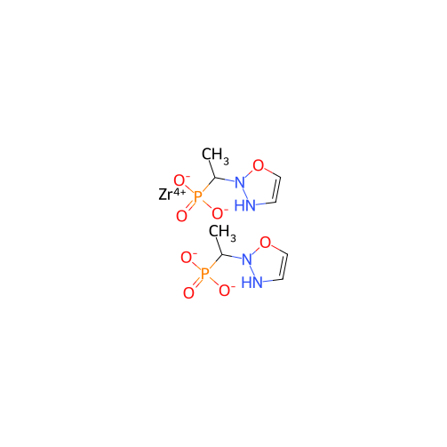 CC(N1NC=CO1)P(=O)([O-])[O-].CC(N1NC=CO1)P(=O)([O-])[O-].[Zr+4]